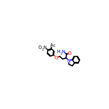 CC(=O)c1cc(OCCC(C(N)=O)N2CCc3ccccc32)ccc1[N+](=O)[O-]